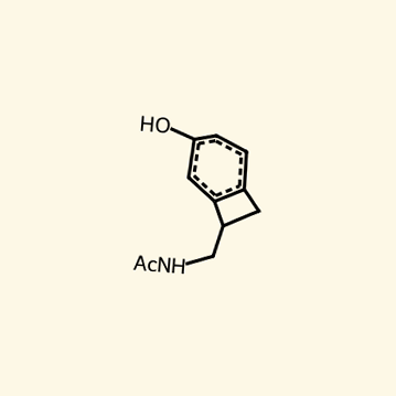 CC(=O)NCC1Cc2ccc(O)cc21